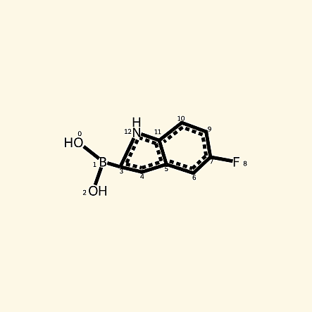 OB(O)c1cc2cc(F)ccc2[nH]1